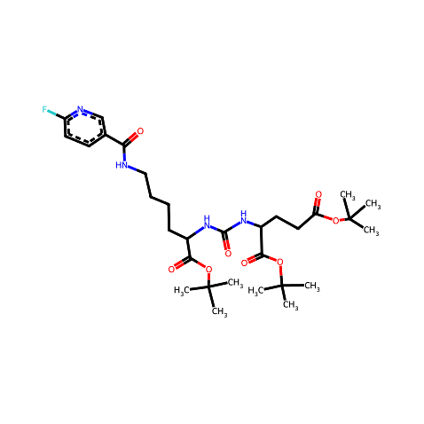 CC(C)(C)OC(=O)CCC(NC(=O)NC(CCCCNC(=O)c1ccc(F)nc1)C(=O)OC(C)(C)C)C(=O)OC(C)(C)C